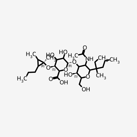 CCCC1C(C)[C@@]1(C)O[C@@H]1C(C(=O)O)O[C@@H](OC2C(NC(C)=O)C(C(C)(CC)CCC)OC(CO)[C@H]2O)C(O)C1O